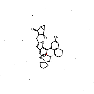 N#Cc1cc2c(c(-c3ccnc4cc(CN5C(=O)C6CC6C5=O)sc34)c1)N([C@H]1CNC3(CCCC3)C1)CCC2